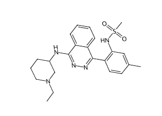 CCN1CCCC(Nc2nnc(-c3ccc(C)cc3NS(C)(=O)=O)c3ccccc23)C1